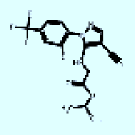 CC(C)OC(=O)CNc1c(C#N)cnn1-c1ccc(C(F)(F)F)cc1Cl